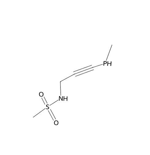 CPC#CCNS(C)(=O)=O